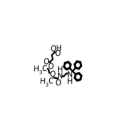 CC(COC(C)C(=O)NCCNC(c1ccccc1)(c1ccccc1)c1ccccc1)OC(=O)CCC(=O)O